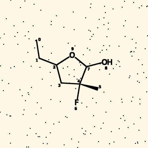 CCC1C[C@@](C)(F)C(O)O1